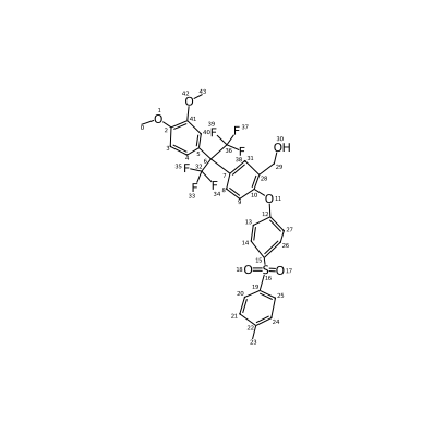 COc1ccc(C(c2ccc(Oc3ccc(S(=O)(=O)c4ccc(C)cc4)cc3)c(CO)c2)(C(F)(F)F)C(F)(F)F)cc1OC